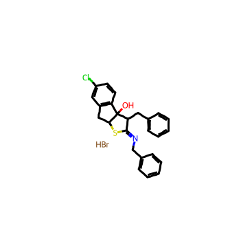 Br.OC12c3ccc(Cl)cc3CC1SC(=NCc1ccccc1)C2Cc1ccccc1